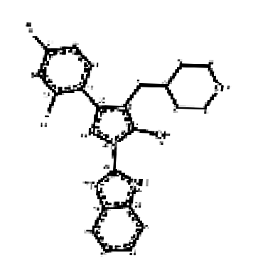 Oc1c(CC2CCOCC2)c(-c2ccc(F)cc2F)nn1-c1nc2ccccc2[nH]1